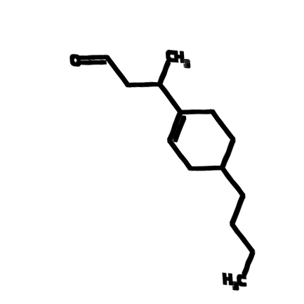 CCCCC1CC=C(C(C)CC=O)CC1